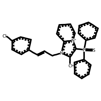 Cc1c(P(=S)(c2ccccc2)c2ccccc2)[n+]2ccccc2n1C/C=C/c1ccc(Cl)cc1